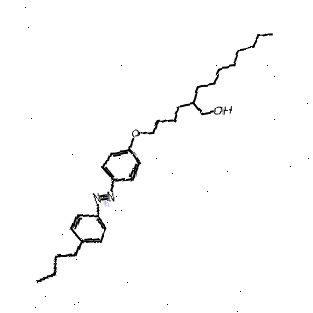 CCCCCCCCC(CO)CCCCOc1ccc(/N=N/c2ccc(CCCC)cc2)cc1